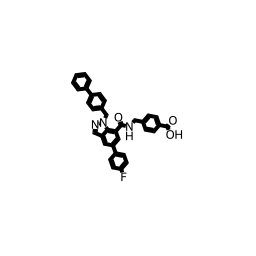 O=C(O)c1ccc(CNC(=O)c2cc(-c3ccc(F)cc3)cc3cnn(Cc4ccc(-c5ccccc5)cc4)c23)cc1